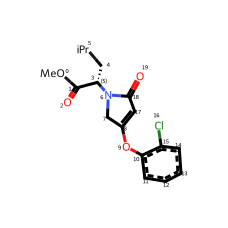 COC(=O)[C@H](CC(C)C)N1CC(Oc2ccccc2Cl)=CC1=O